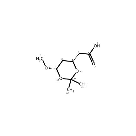 CO[C@@H]1C[C@H](CC(=O)O)OC(C)(C)O1